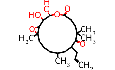 C=CCC1CC(C)CCCC2(C)OC2C(O)C(O)OC(=O)CCC(C)(C)C1=O